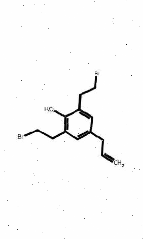 C=CCc1cc(CCBr)c(O)c(CCBr)c1